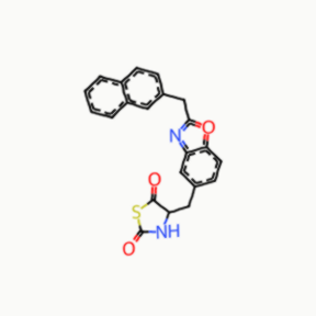 O=C1NC(Cc2ccc3oc(Cc4ccc5ccccc5c4)nc3c2)C(=O)S1